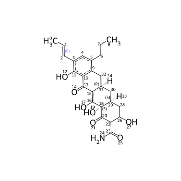 C/C=C/c1cc(CCC)c2c(c1O)C(=O)C1=C(O)[C@]3(O)C(=O)C(C(N)=O)C(O)C[C@@H]3C[C@@H]1C2